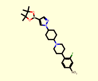 CC1(C)OB(c2cnn(C3CCC(N4CCC(c5ccc([N+](=O)[O-])cc5F)CC4)CC3)c2)OC1(C)C